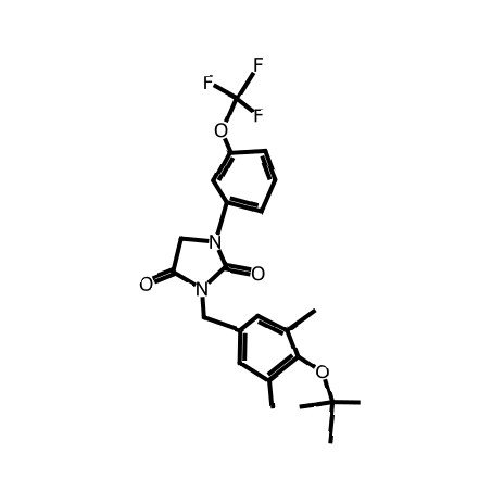 Cc1cc(CN2C(=O)CN(c3cccc(OC(F)(F)F)c3)C2=O)cc(C)c1OC(C)(C)C